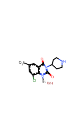 Br.CCn1c(=O)n(C2CCNCC2)c(=O)c2cc([N+](=O)[O-])cc(Cl)c21